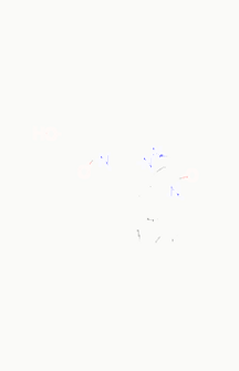 O=C(CCCO)N1CCC(n2ncc(C(=O)N3CC[C@@H](c4ccccc4C(F)(F)F)C3)c2C2CC2)CC1